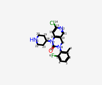 Cc1cccc(F)c1N1Cc2cnc(Cl)cc2N(C2CCNCC2)C1=O